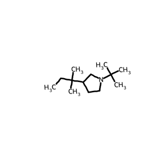 CCC(C)(C)C1CCN(C(C)(C)C)C1